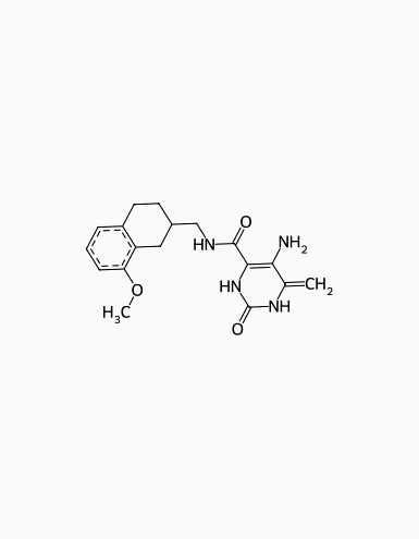 C=C1NC(=O)NC(C(=O)NCC2CCc3cccc(OC)c3C2)=C1N